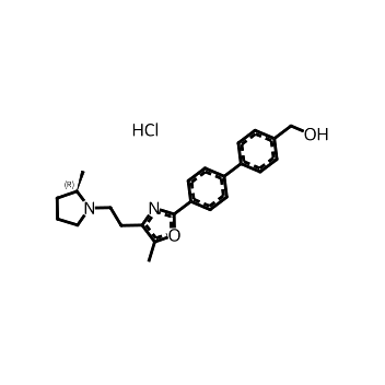 Cc1oc(-c2ccc(-c3ccc(CO)cc3)cc2)nc1CCN1CCC[C@H]1C.Cl